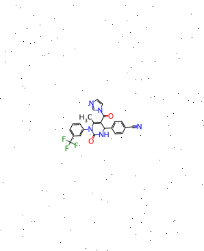 CC1=C(C(=O)n2ccnc2)C(c2ccc(C#N)cc2)NC(=O)N1c1cccc(C(F)(F)F)c1